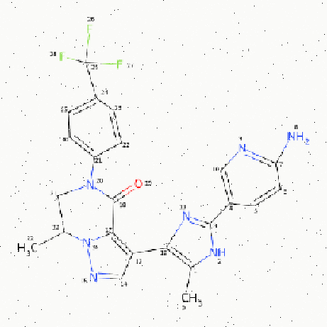 Cc1[nH]c(-c2ccc(N)nc2)nc1-c1cnn2c1C(=O)N(c1ccc(C(F)(F)F)cc1)CC2C